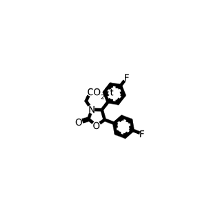 CCOC(=O)CN1C(=O)OC(c2ccc(F)cc2)C1c1ccc(F)cc1